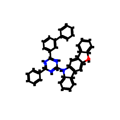 c1ccc(-c2cccc(-c3nc(-c4ccccc4)nc(-n4c5ccccc5c5cc6oc7ccccc7c6cc54)n3)c2)cc1